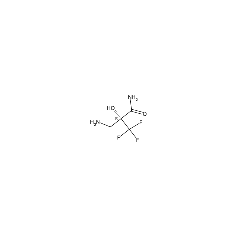 NC[C@@](O)(C(N)=O)C(F)(F)F